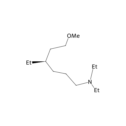 CC[C@H](CCCN(CC)CC)CCOC